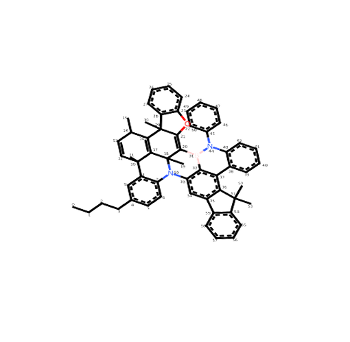 CCCCc1ccc2c(c1)C1(C)C=CC(C)C3=C1C1(C)C(=C4Oc5ccccc5C43C)B3c4c(cc5c(c4-c4ccccc4N3c3ccccc3)C(C)(C)c3ccccc3-5)N21